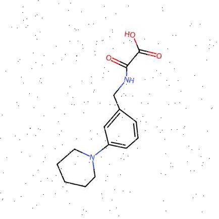 O=C(O)C(=O)NCc1cccc(N2CCCCC2)c1